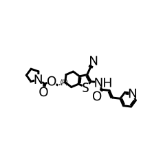 N#Cc1c(NC(=O)C=Cc2cccnc2)sc2c1CC[C@@H](COC(=O)N1CCCC1)C2